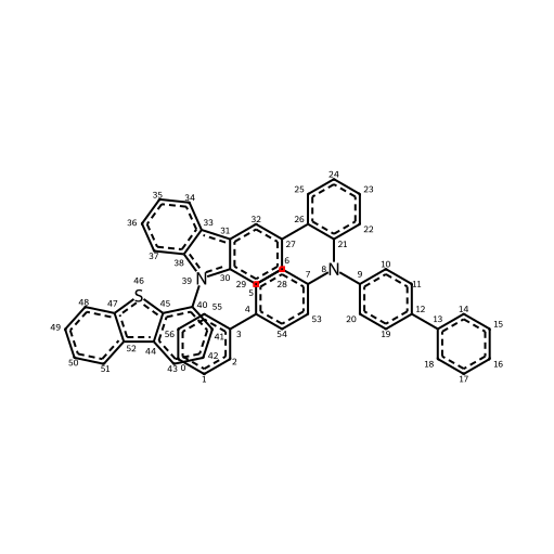 c1ccc(-c2ccc(N(c3ccc(-c4ccccc4)cc3)c3ccccc3-c3ccc4c(c3)c3ccccc3n4-c3cccc4c3sc3ccccc34)cc2)cc1